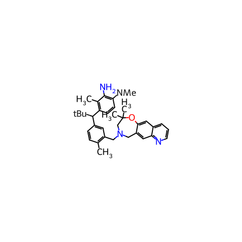 CNc1ccc(C(c2ccc(C)c(CN3Cc4cc5ncccc5cc4OC(C)(C)C3)c2)C(C)(C)C)c(C)c1N